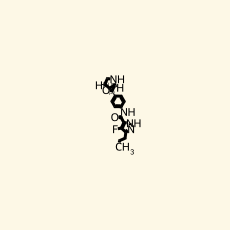 CCCc1n[nH]c(C(=O)Nc2ccc([C@@H]3O[C@H]4CN[C@@H]3C4)cc2)c1F